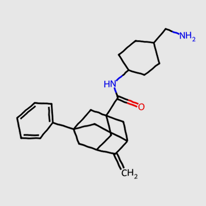 C=C1C2CC3(C(=O)NC4CCC(CN)CC4)CC1CC(c1ccccc1)(C2)C3